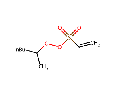 C=CS(=O)(=O)OOC(C)CCCC